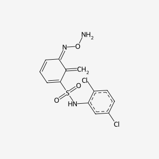 C=C1C(S(=O)(=O)Nc2cc(Cl)ccc2Cl)=CC=C/C1=N/ON